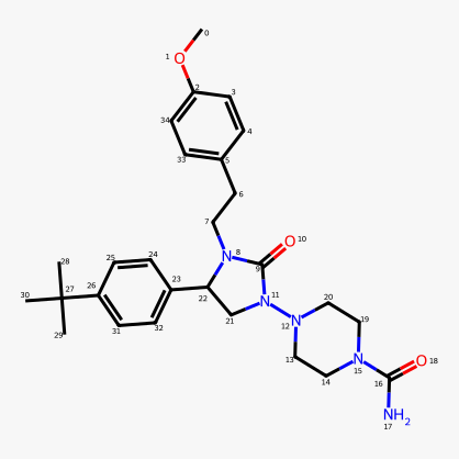 COc1ccc(CCN2C(=O)N(N3CCN(C(N)=O)CC3)CC2c2ccc(C(C)(C)C)cc2)cc1